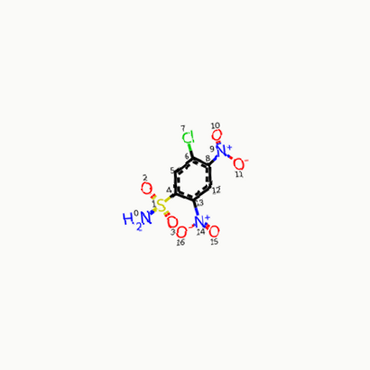 NS(=O)(=O)c1cc(Cl)c([N+](=O)[O-])cc1[N+](=O)[O-]